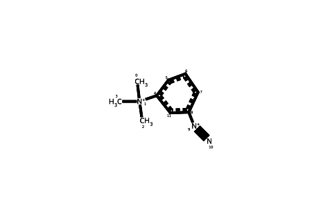 C[N+](C)(C)c1cccc([N+]#N)c1